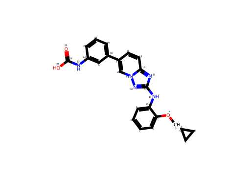 C1CC1.COc1ccccc1Nc1nc2ccc(-c3cccc(NC(=O)O)c3)cn2n1